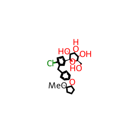 CO[C@H]1CCC[C@H]1Oc1ccc(Cc2cc([C@@H]3O[C@H](CO)[C@@H](O)[C@H](O)[C@H]3O)ccc2Cl)cc1